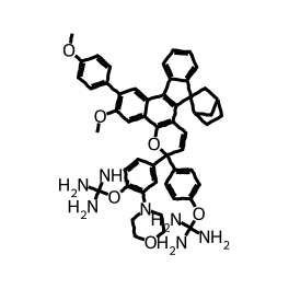 COc1ccc(-c2cc3c4c(c5c(c3cc2OC)OC(c2ccc(OC(N)(N)N)cc2)(c2ccc(OC(N)(N)N)c(N3CCOCC3)c2)C=C5)C2(CC3CCC2C3)c2ccccc2-4)cc1